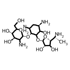 C[C@@H](N)[C@H]1O[C@@H](OC2C(O)[C@H](N)CC(N)[C@H]2O[C@H]2OC(CO)[C@@H](O)[C@H](O)C2N)[C@@H](O)C1O